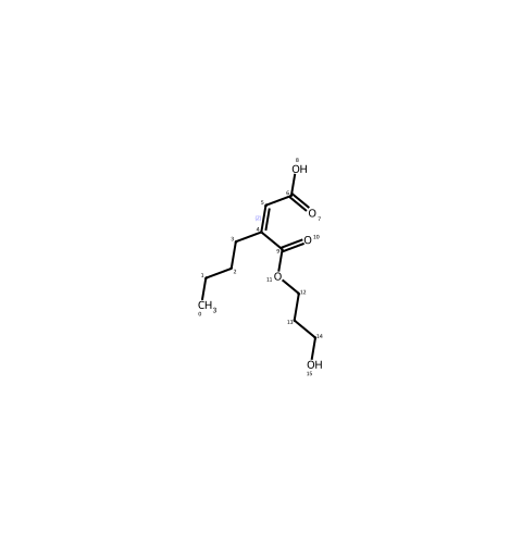 CCCC/C(=C/C(=O)O)C(=O)OCCCO